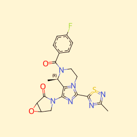 Cc1nsc(-c2nc(N3CC4OC4C3=O)c3n2CCN(C(=O)c2ccc(F)cc2)[C@@H]3C)n1